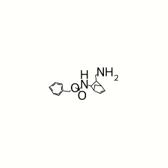 NCC1C2C=CC(C2)C1NC(=O)OCc1ccccc1